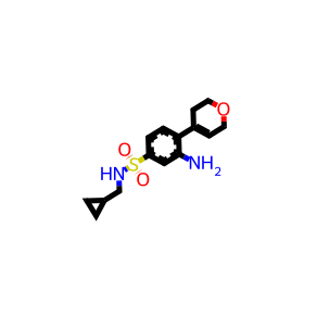 Nc1cc(S(=O)(=O)NCC2CC2)ccc1C1=CCOCC1